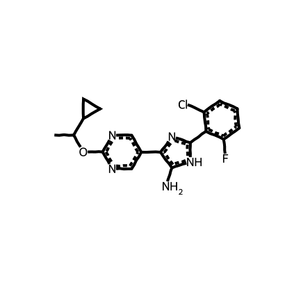 CC(Oc1ncc(-c2nc(-c3c(F)cccc3Cl)[nH]c2N)cn1)C1CC1